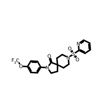 O=C1N(c2ccc(OC(F)(F)F)cc2)CCC12CCN(S(=O)(=O)c1ccccn1)CC2